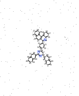 c1ccc2cc(-c3cc(-c4ccc(-c5nc6ccccc6c6c5ccc5ccccc56)cc4)nc(-c4ccc5ccccc5c4)n3)ccc2c1